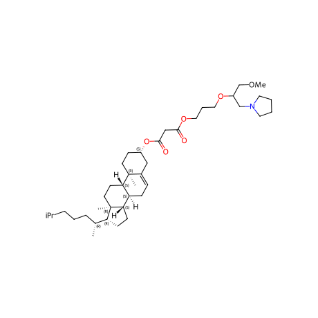 COCC(CN1CCCC1)OCCCOC(=O)CC(=O)O[C@H]1CC[C@@]2(C)C(=CC[C@H]3[C@@H]4CC[C@H]([C@H](C)CCCC(C)C)[C@@]4(C)CC[C@@H]32)C1